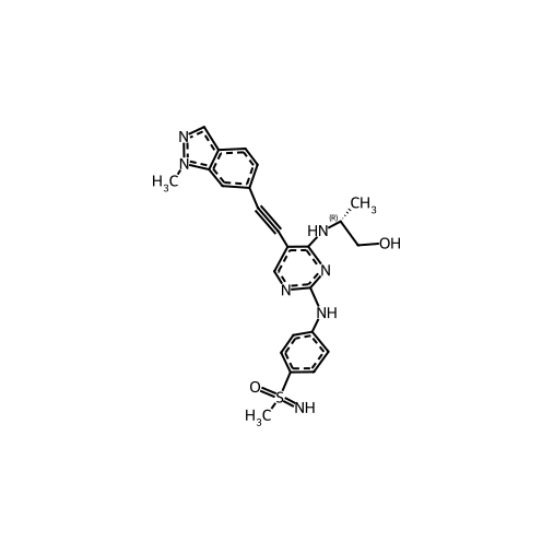 C[C@H](CO)Nc1nc(Nc2ccc(S(C)(=N)=O)cc2)ncc1C#Cc1ccc2cnn(C)c2c1